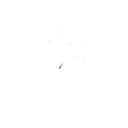 CS(=O)(=O)NC1CC2CCC(C1)N2C(=O)[C@@H]1C[C@H]1c1ccccc1-c1c(F)cccc1F